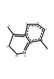 CC1=c2cccc(C)c2=NCC1